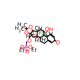 CCOP(=O)(COCC(=O)[C@@]12OC(C)(C)O[C@@H]1C[C@H]1[C@@H]3CCC4=CC(=O)C=C[C@]4(C)[C@@]3(F)[C@@H](O)C[C@@]12C)OCC